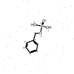 O=[As](O)(O)OCc1ccccc1